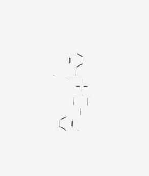 O=C(O)NC(CS(=O)(=O)N1CCC(Oc2ccc(Br)cc2F)CC1)c1ccccc1